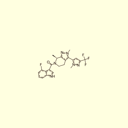 C[C@H]1c2nn(C)c(-c3cc(C(F)(F)F)nn3C)c2CCN1C(=O)c1c[nH]c2cccc(F)c12